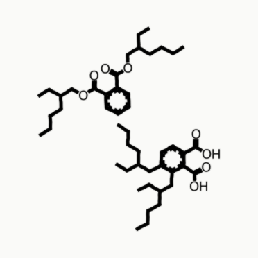 CCCCC(CC)COC(=O)c1ccccc1C(=O)OCC(CC)CCCC.CCCCC(CC)Cc1ccc(C(=O)O)c(C(=O)O)c1CC(CC)CCCC